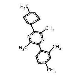 Cc1ccc(-c2nc(C)c(-c3ccc(C)cc3C)nc2C)cc1